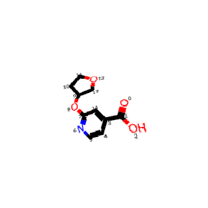 O=C(O)c1ccnc(OC2CCOC2)c1